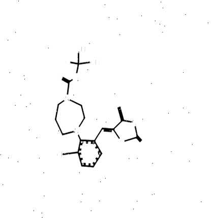 CC(C)(C)OC(=O)N1CCCN(c2c(Cl)cccc2/C=C2\SC(=O)NC2=O)CC1